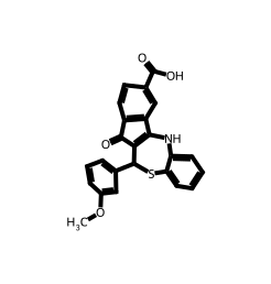 COc1cccc(C2Sc3ccccc3NC3=C2C(=O)c2ccc(C(=O)O)cc23)c1